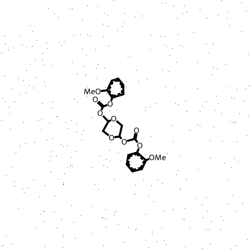 COc1ccccc1OC(=O)OC1COC(OC(=O)Oc2ccccc2OC)CO1